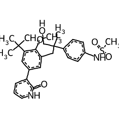 COc1c(CC(C)(CO)c2ccc(NS(C)(=O)=O)cc2)cc(-c2ccc[nH]c2=O)cc1C(C)(C)C